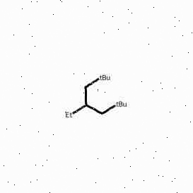 CCC(CC(C)(C)C)CC(C)(C)C